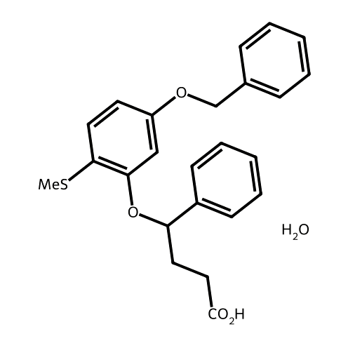 CSc1ccc(OCc2ccccc2)cc1OC(CCC(=O)O)c1ccccc1.O